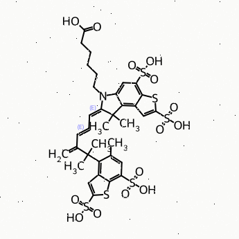 C=C(/C=C/C=C1/N(CCCCCC(=O)O)c2cc(S(=O)(=O)O)c3sc(S(=O)(=O)O)cc3c2C1(C)C)C(C)(C)c1c(C)cc(S(=O)(=O)O)c2sc(S(=O)(=O)O)cc12